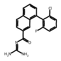 NC(N)=NC(=O)c1ccc2cccc(-c3c(F)cccc3Cl)c2c1